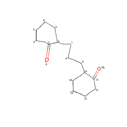 O=C1CCCCC1CCCC1CCCCC1=O